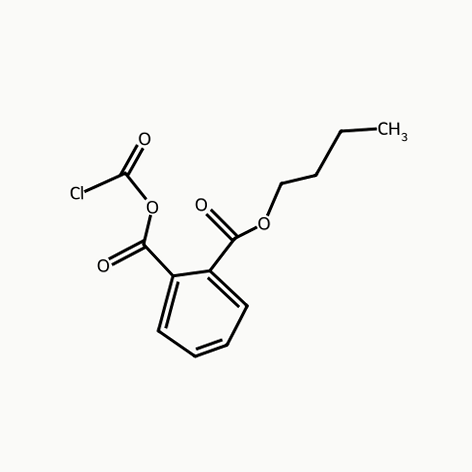 CCCCOC(=O)c1ccccc1C(=O)OC(=O)Cl